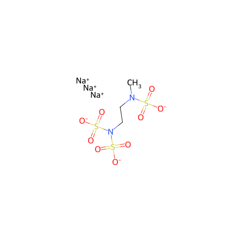 CN(CCN(S(=O)(=O)[O-])S(=O)(=O)[O-])S(=O)(=O)[O-].[Na+].[Na+].[Na+]